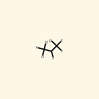 FC(C(F)(F)Cl)C(F)(Cl)Cl